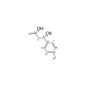 C=C(O)CC(C#N)c1ccc(C)cc1